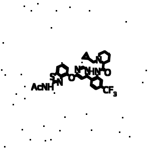 CC(=O)Nc1nc2c(Oc3cc(-c4ccc(C(F)(F)F)cc4NC(=O)C4CCCCN4CC4CC4)ncn3)cccc2s1